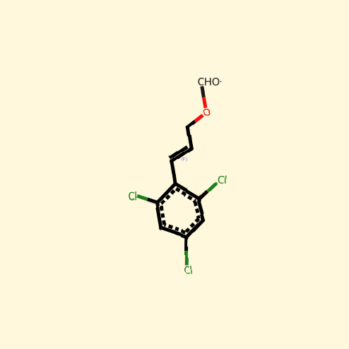 O=[C]OC/C=C/c1c(Cl)cc(Cl)cc1Cl